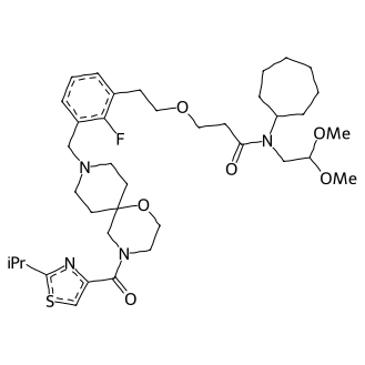 COC(CN(C(=O)CCOCCc1cccc(CN2CCC3(CC2)CN(C(=O)c2csc(C(C)C)n2)CCO3)c1F)C1CCCCCC1)OC